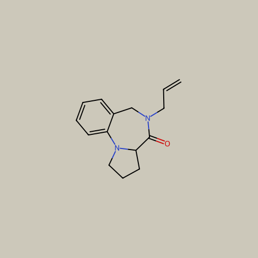 C=CCN1Cc2ccccc2N2CCCC2C1=O